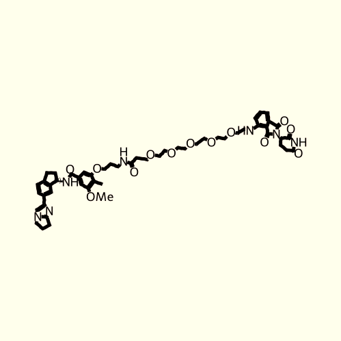 COc1cc(C(=O)N[C@@H]2CCc3ccc(-c4cn5c(n4)CCC5)cc32)cc(OCCCNC(=O)CCOCCOCCOCCOCCOCCNc2cccc3c2C(=O)N(C2CCC(=O)NC2=O)C3=O)c1C